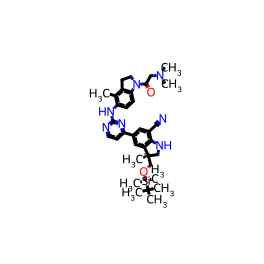 Cc1c(Nc2nccc(-c3cc(C#N)c4c(c3)[C@@](C)(CO[Si](C)(C)C(C)(C)C)CN4)n2)ccc2c1CCN2C(=O)CN(C)C